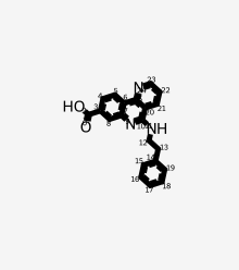 O=C(O)c1ccc2c(c1)nc(NCCc1ccccc1)c1cccnc12